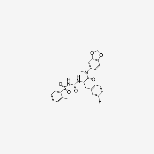 Cc1ccccc1S(=O)(=O)NC(=O)NC(Cc1cccc(F)c1)C(=O)N(C)c1ccc2c(c1)OCO2